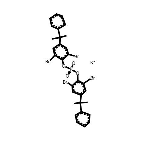 CC(C)(c1ccccc1)c1cc(Br)c(OP(=O)([O-])Oc2c(Br)cc(C(C)(C)c3ccccc3)cc2Br)c(Br)c1.[K+]